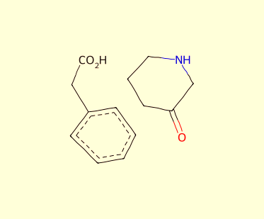 O=C(O)Cc1ccccc1.O=C1CCCNC1